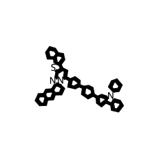 c1ccc(-n2c3ccccc3c3ccc(-c4ccc(-c5ccc(-c6cc7c8ccc9ccccc9c8sc7c7nc8c9cc%10ccccc%10cc9ccc8n67)cc5)cc4)cc32)cc1